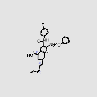 C=C/C=C\C=C\C1C/C(=N\O)c2cc(C(=O)Nc3ccc(F)cc3)c(NCCOc3ccccc3)nc2C1